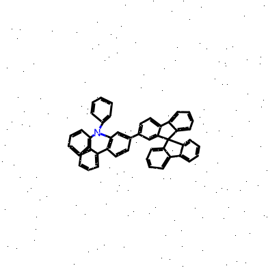 c1ccc(-c2ccc(-c3ccc4c(c3)C3(c5ccccc5-c5ccccc53)c3ccccc3-4)cc2N(c2ccccc2)c2ccccc2)cc1